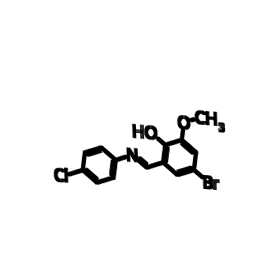 COc1cc(Br)cc(/C=N/c2ccc(Cl)cc2)c1O